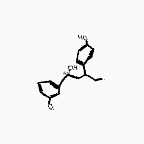 [CH2]CC(C[C@@H](O)c1cccc(Cl)c1)c1ccc(O)cc1